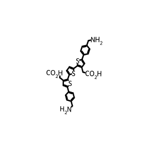 NCc1ccc(-c2cc(CC(=O)O)c(-c3ccc(-c4sc(-c5ccc(CN)cc5)cc4CC(=O)O)s3)s2)cc1